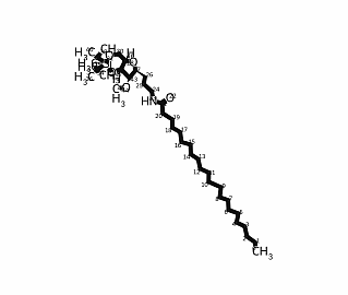 CCCCCCCCCCCCCCCCCCCCCC(=O)NCCC[C@@H]1O[C@@H]2CO[Si](C(C)(C)C)(C(C)(C)C)O[C@H]2[C@H]1OC